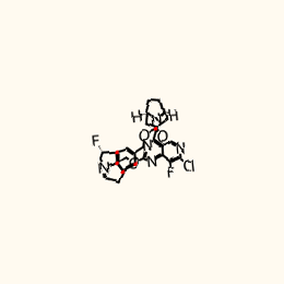 O=C(OCc1ccccc1)N1[C@@H]2CC[C@H]1CC(c1nc(OC[C@@]34CCCN3C[C@H](F)C4)nc3c(F)c(Cl)ncc13)C2